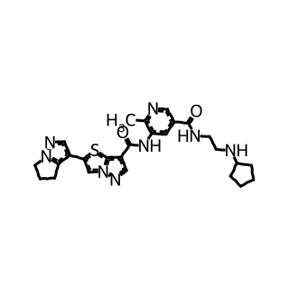 Cc1ncc(C(=O)NCCNC2CCCC2)cc1NC(=O)c1cnn2cc(-c3cnn4c3CCC4)sc12